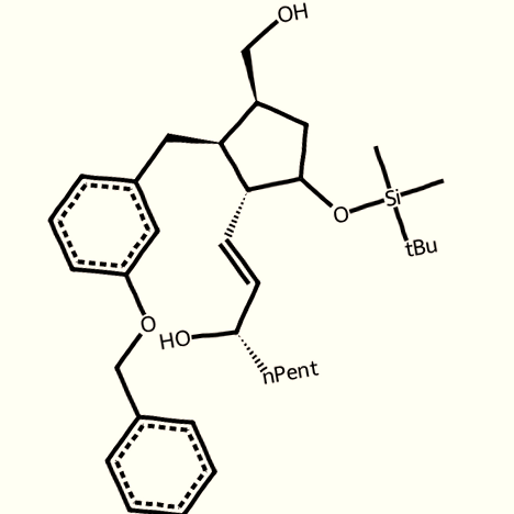 CCCCC[C@H](O)/C=C/[C@H]1C(O[Si](C)(C)C(C)(C)C)C[C@H](CO)[C@@H]1Cc1cccc(OCc2ccccc2)c1